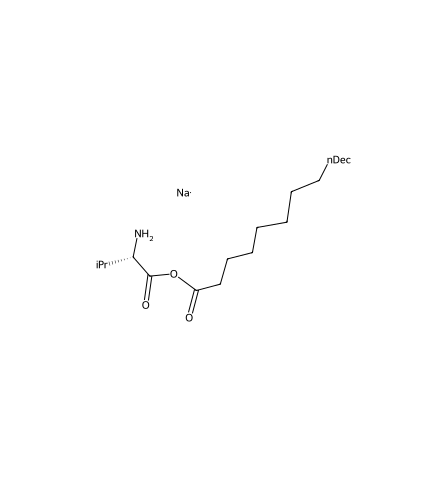 CCCCCCCCCCCCCCCCCC(=O)OC(=O)[C@@H](N)C(C)C.[Na]